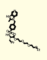 CCOCCOCCOCCOC(=O)[C@H](CC(C)C)NS(=O)(=O)c1ccc(CN2c3ccncc3NC2C)cc1